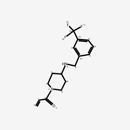 C=CC(=O)N1CCC(NCc2cccc(C(F)(F)F)c2)CC1